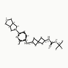 Cc1nc(N2CC3COCC3C2)ccc1NC1CC2(CC(NC(=O)OC(C)(C)C)C2)C1